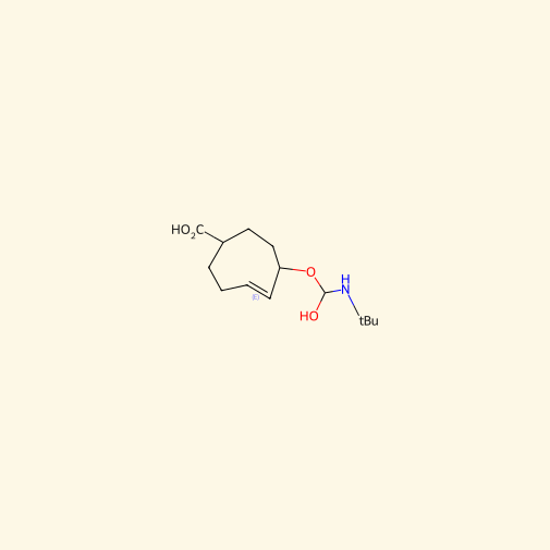 CC(C)(C)NC(O)OC1/C=C/CCC(C(=O)O)CC1